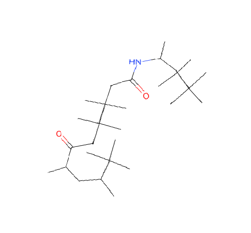 CC(CC(C)C(C)(C)C)C(=O)CC(C)(C)C(C)(C)CC(=O)NC(C)C(C)(C)C(C)(C)C